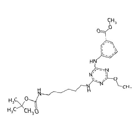 CCOc1nc(NCCCCCCNC(=O)OC(C)(C)C)nc(Nc2cccc(C(=O)OC)c2)n1